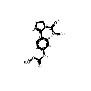 CC(C)(C)OC(=O)Oc1ccc(C2=NCCN2C(=O)OC(C)(C)C)cc1